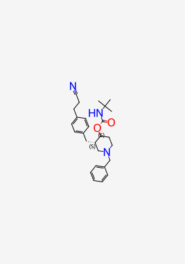 CC(C)(C)NC(=O)O[C@H]1CCN(Cc2ccccc2)C[C@@H]1Cc1ccc(CCC#N)cc1